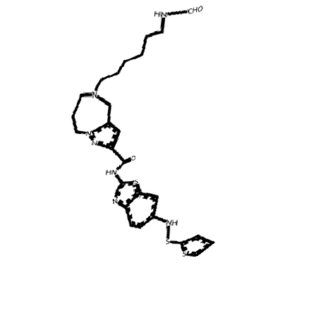 O=CNCCCCCCN1CCCn2nc(C(=O)Nc3nc4ccc(NSc5cccs5)cc4s3)cc2C1